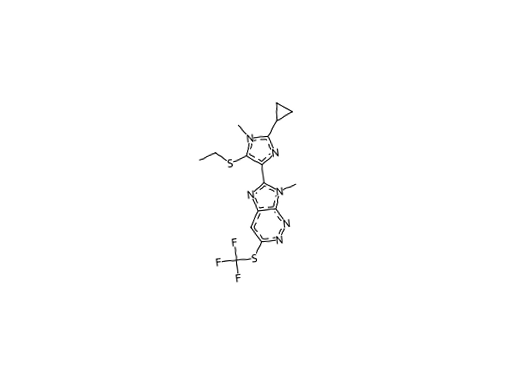 CCSc1c(-c2nc3cc(SC(F)(F)F)nnc3n2C)nc(C2CC2)n1C